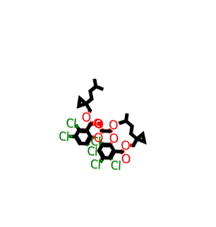 CC(C)CCC1(COC(=O)c2c(Cl)c(Cl)cc(Cl)c2OC(=O)C(=O)Oc2c(Cl)cc(Cl)c(Cl)c2C(=O)OCC2(CCC(C)C)CC2)CC1